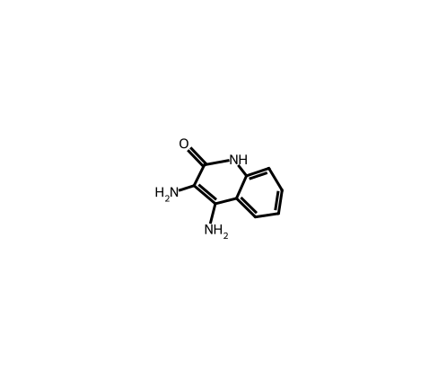 Nc1c(N)c2ccccc2[nH]c1=O